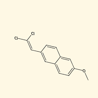 COc1ccc2cc(C=C(Cl)Cl)ccc2c1